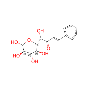 O=C(C=Cc1ccccc1)C(O)[C@H]1OC(O)[C@H](O)[C@@H](O)[C@@H]1O